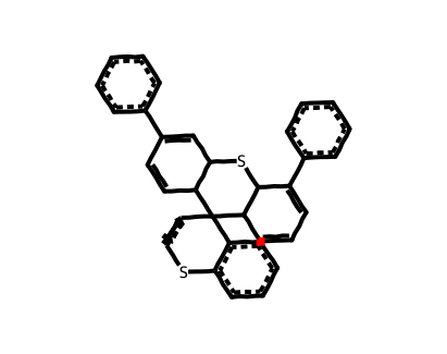 C1=CC2C(SC3C=C(c4ccccc4)C=CC3C23c2ccccc2Sc2ccccc23)C(c2ccccc2)=C1